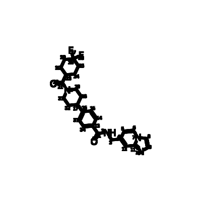 O=C(NCc1ccn2ccnc2c1)c1ccc(C2CCN(C(=O)C3CCC(F)(F)CC3)CC2)cc1